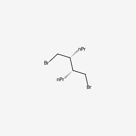 CCC[C@@H](CBr)[C@H](CBr)CCC